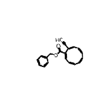 C#Cc1ccccccccc1C(=O)OCc1ccccc1